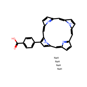 O=C(O)c1ccc(-c2cc3cc4nc(cc5ccc(cc6nc(cc2[nH]3)C=C6)[nH]5)C=C4)cc1.[NaH].[NaH].[NaH].[NaH]